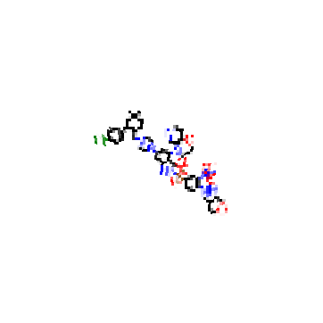 CC1(C)CCC(CN2CCN(c3ccc(C(=O)NS(=O)(=O)c4ccc(NCC5CCOCC5)c([N+](=O)[O-])c4)c(N4CCCOc5ccncc54)c3)CC2)=C(c2ccc(Cl)cc2)C1